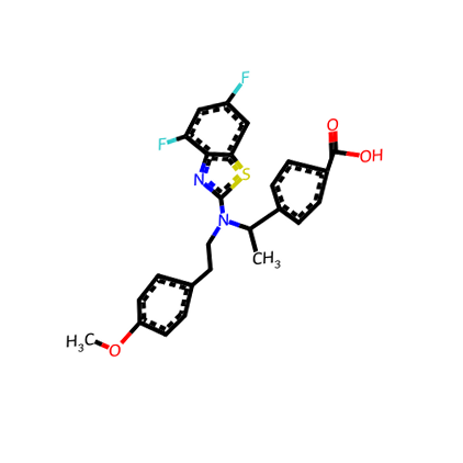 COc1ccc(CCN(c2nc3c(F)cc(F)cc3s2)C(C)c2ccc(C(=O)O)cc2)cc1